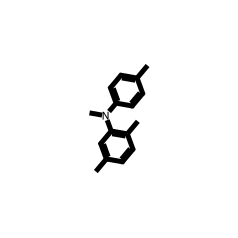 Cc1ccc(N(C)c2cc(C)ccc2C)cc1